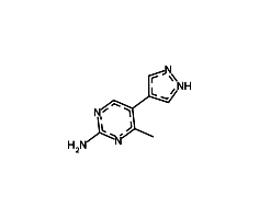 Cc1nc(N)ncc1-c1cn[nH]c1